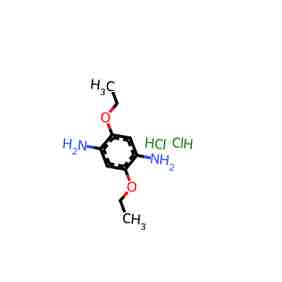 CCOc1cc(N)c(OCC)cc1N.Cl.Cl